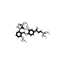 COc1cccc(-n2nnn(C)c2=O)c1COc1ccc(C(=O)/C=C/N(C)C)cc1C